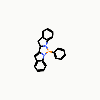 c1ccc(P2N3c4ccccc4CC3c3cc4ccccc4n32)cc1